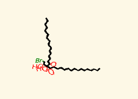 CCCCCCCCCCCCCCCC(=O)C(O)(C(=O)CCCCCCCCCCCCCCC)C(O)CBr